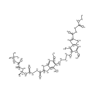 CCOC(=O)CCC(=O)c1cc2c(F)c(OCCCOc3c(OC)cc4c(c3Cl)CN(C(=O)CCC(=O)O[C@@H](C)CNC(=O)OC(C)(C)C)C4)c(OC)cc2s1